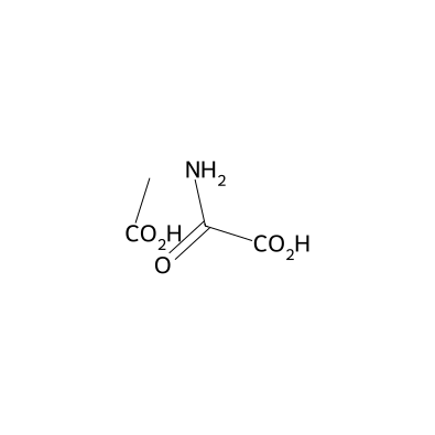 CC(=O)O.NC(=O)C(=O)O